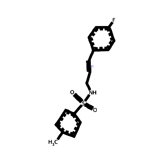 Cc1ccc(S(=O)(=O)NC/C=C/c2ccc(F)cc2)cc1